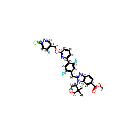 COC(=O)c1ccc2nc(Cc3cc(F)c(-c4cccc(OCc5cnc(Cl)cc5F)n4)cc3F)n([C@@H]3COCC3(C)C)c2c1